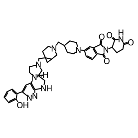 O=C1CCC(N2C(=O)c3ccc(N4CCC(CN5CCC6(CN7CCN8c9cc(-c%10ccccc%10O)nnc9NC[C@H]8C7)CC6C5)CC4)cc3C2=O)C(=O)N1